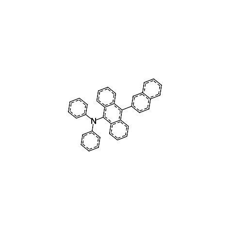 c1ccc(N(c2ccccc2)c2c3ccccc3c(-c3ccc4ccccc4c3)c3ccccc23)cc1